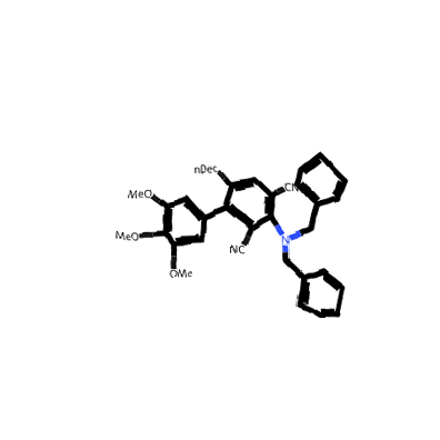 CCCCCCCCCCc1cc(C#N)c(N(Cc2ccccc2)Cc2ccccc2)c(C#N)c1-c1cc(OC)c(OC)c(OC)c1